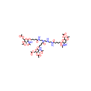 CC(=O)NC1[C@H](OCCCCC(=O)NCCNCCN(CCNC(=O)CCCCO[C@@H]2OC(COC(C)=O)[C@H](OC(C)=O)[C@H](C)C2NC(C)=O)C(=O)CCCCO[C@@H]2OC(COC(C)=O)[C@H](OC(C)=O)[C@H](C)C2NC(C)=O)OC(COC(C)=O)[C@H](OC(C)=O)[C@@H]1C